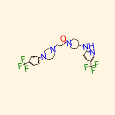 O=C(CCN1CCCN(c2ccc(C(F)(F)F)cc2)CC1)N1CCC(Nc2ccc(C(F)(F)F)cn2)CC1